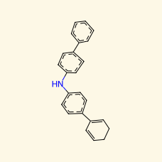 C1=CC(c2ccc(Nc3ccc(-c4ccccc4)cc3)cc2)=CCC1